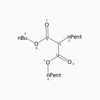 CCCCCOC(=O)C(CCCCC)C(=O)OCCCC